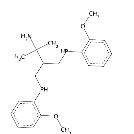 COc1ccccc1PCC(CPc1ccccc1OC)C(C)(C)N